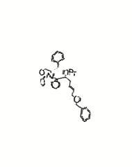 CCC[C@H](C/C=C/COCc1ccccc1)C(=O)N1C(=O)OC[C@@H]1Cc1ccccc1